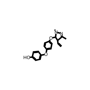 C=CC1C(C)=NN(C)C1Oc1ccc(Oc2ccc(O)cc2)cc1